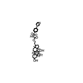 CC[C@H]1[C@@H](O)[C@@H]2[C@H](CC[C@]3(C)[C@@H](CCOC(=O)NS(=O)(=O)c4ccc(-n5ccnc5)cc4)CC[C@@H]23)[C@@]2(C)CC[C@@H](O)C[C@@H]12